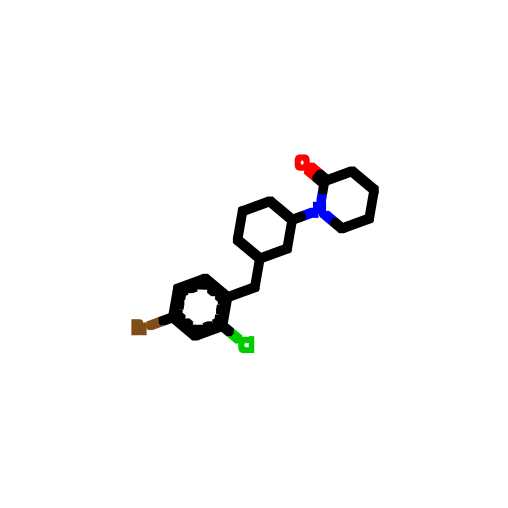 O=C1CCCCN1C1CCCC(Cc2ccc(Br)cc2Cl)C1